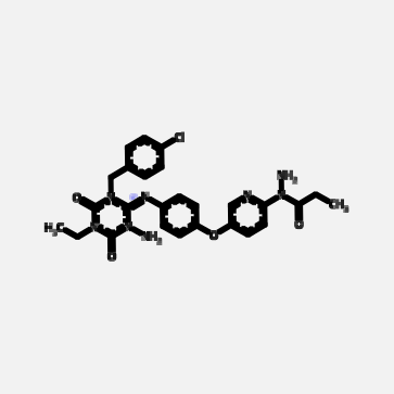 CCC(=O)N(N)c1ccc(Oc2ccc(/N=c3\n(N)c(=O)n(CC)c(=O)n3Cc3ccc(Cl)cc3)cc2)cn1